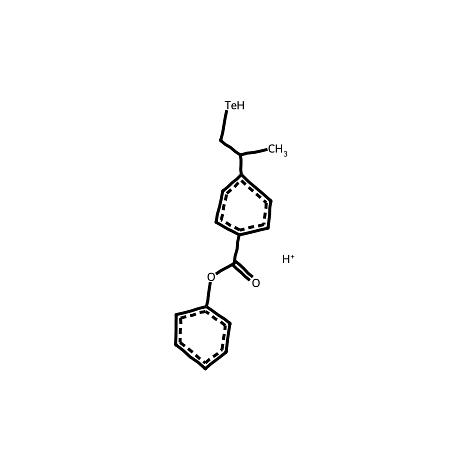 CC(C[TeH])c1ccc(C(=O)Oc2ccccc2)cc1.[H+]